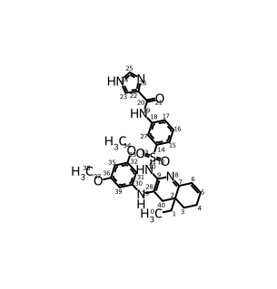 CCC12CCC=CC1=NC(NS(=O)(=O)c1cccc(NC(=O)c3c[nH]cn3)c1)=C(Nc1cc(OC)cc(OC)c1)C2